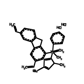 C=Cc1ccc2c(c1)-c1cc(C=C)c[c]([Zr](=[CH2])([CH3])([C]3=CC(C(C)(C)C)=CC3C)[c]3ccccc3)c1C2.Cl.Cl